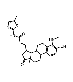 CNc1c(O)ccc2c1CCC1C2CCC2(C)C(=O)CC(CCC(=O)Nc3ncc(C)s3)C12